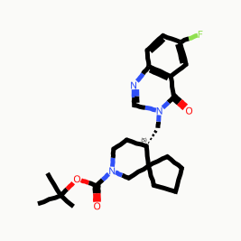 CC(C)(C)OC(=O)N1CC[C@H](Cn2cnc3ccc(F)cc3c2=O)C2(CCCC2)C1